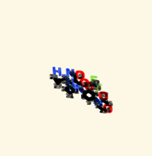 NC(=O)[C@@H](C(=O)Nc1ccc(N2CCOCC2=O)cc1OC(F)F)N(CC1CC1)C1CCC1